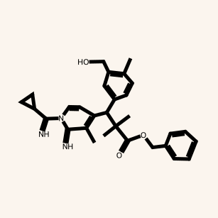 Cc1ccc(C(c2ccn(C(=N)C3CC3)c(=N)c2C)C(C)(C)C(=O)OCc2ccccc2)cc1CO